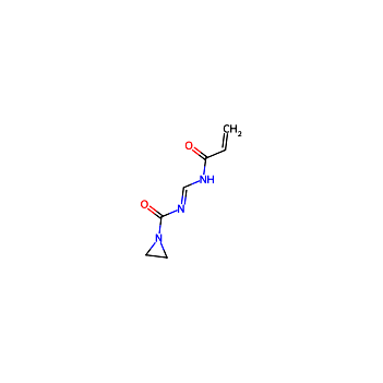 C=CC(=O)NC=NC(=O)N1CC1